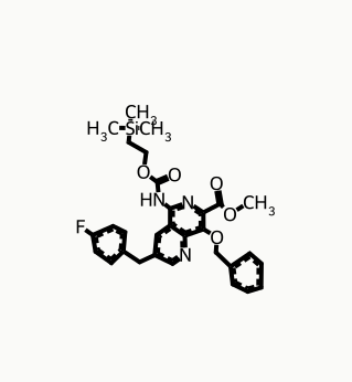 COC(=O)c1nc(NC(=O)OCC[Si](C)(C)C)c2cc(Cc3ccc(F)cc3)cnc2c1OCc1ccccc1